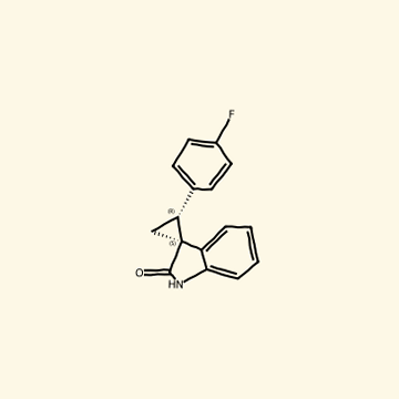 O=C1Nc2ccccc2[C@@]12C[C@@H]2c1ccc(F)cc1